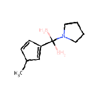 BC(B)(C1=CC(C)C=C1)N1CCCC1